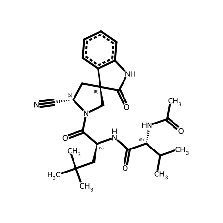 CC(=O)N[C@@H](C(=O)N[C@@H](CC(C)(C)C)C(=O)N1C[C@]2(C[C@H]1C#N)C(=O)Nc1ccccc12)C(C)C